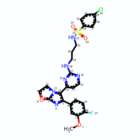 COc1cc(-c2nc3occn3c2-c2ccnc(NCCCNS(=O)(=O)c3ccc(Cl)cc3)n2)ccc1F